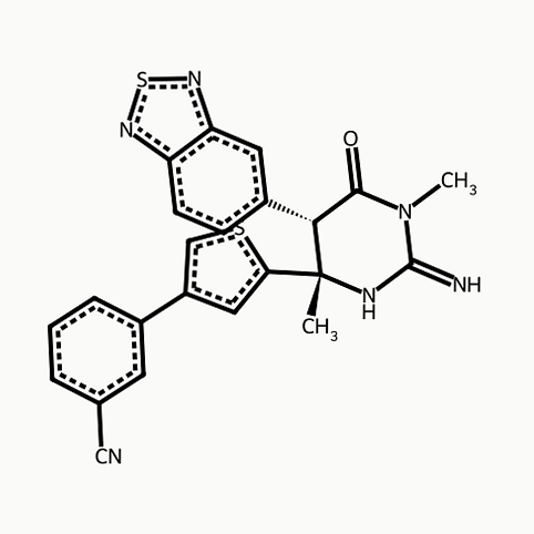 CN1C(=N)N[C@](C)(c2cc(-c3cccc(C#N)c3)cs2)[C@H](c2ccc3nsnc3c2)C1=O